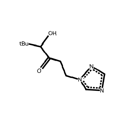 CC(C)(C)C(O)C(=O)CCn1cncn1